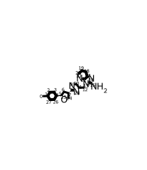 Cc1ccc([C@H]2C[C@H](C3=NCC(Cn4c(N)nc5cccnc54)=N3)CO2)cc1